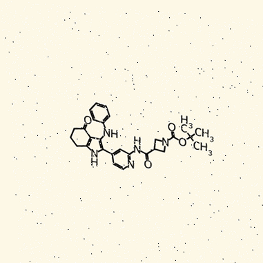 CC(C)(C)OC(=O)N1CC(C(=O)Nc2cc(-c3[nH]c4c(c3Nc3ccccc3)C(=O)CCC4)ccn2)C1